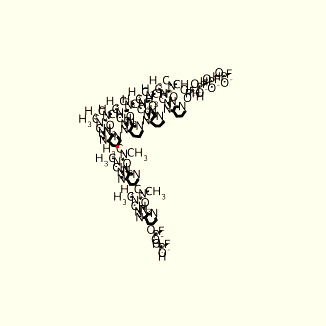 CN(C)C(On1nnc2cccnc21)=[N+](C)C.CN(C)C(On1nnc2cccnc21)=[N+](C)C.CN(C)C(On1nnc2cccnc21)=[N+](C)C.CN(C)C(On1nnc2cccnc21)=[N+](C)C.CN(C)C(On1nnc2cccnc21)=[N+](C)C.CN(C)C(On1nnc2cccnc21)=[N+](C)C.O=[PH]([O-])F.O=[PH]([O-])F.O=[PH]([O-])F.O=[PH]([O-])F.O=[PH]([O-])F.O=[PH]([O-])F